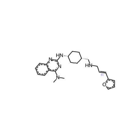 CN(C)c1nc(N[C@H]2CC[C@@H](CNC/C=C/c3ccco3)CC2)nc2ccccc12